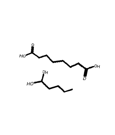 CCCCC(O)O.O=C(O)CCCCCCC(=O)O